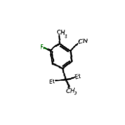 CCC(C)(CC)c1cc(F)c(C)c(C#N)c1